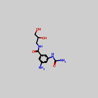 NC(=O)Nc1cc(N)cc(C(=O)NCC(O)CO)c1